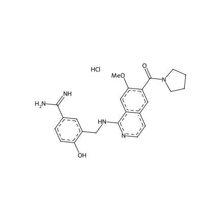 COc1cc2c(NCc3cc(C(=N)N)ccc3O)nccc2cc1C(=O)N1CCCC1.Cl